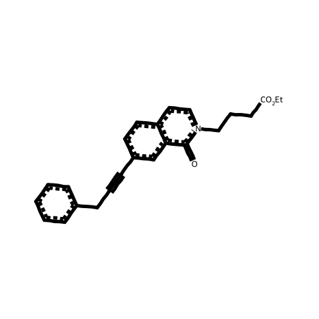 CCOC(=O)CCCn1ccc2ccc(C#CCc3ccccc3)cc2c1=O